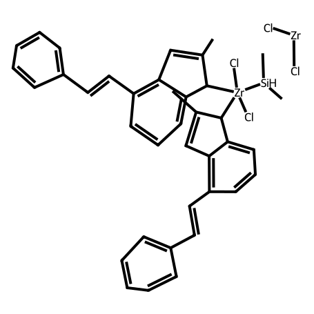 CC1=Cc2c(C=Cc3ccccc3)cccc2[CH]1[Zr]([Cl])([Cl])([CH]1C(C)=Cc2c(C=Cc3ccccc3)cccc21)[SiH](C)C.[Cl][Zr][Cl]